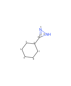 C1CCC(C2=NN2)CC1